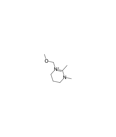 COC[N+]1=C(C)N(C)CCC1